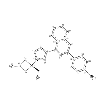 N#CC[C@]1(n2ccc(-c3nc(-c4ccc(N)nc4)cc4ncccc34)n2)C[C@@H](C#N)C1